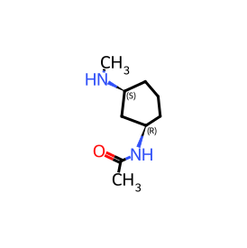 CN[C@H]1CCC[C@@H](NC(C)=O)C1